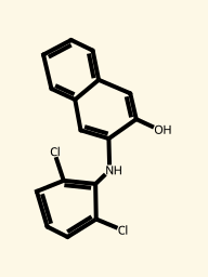 Oc1cc2ccccc2cc1Nc1c(Cl)cccc1Cl